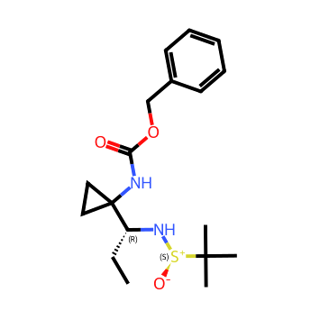 CC[C@@H](N[S@+]([O-])C(C)(C)C)C1(NC(=O)OCc2ccccc2)CC1